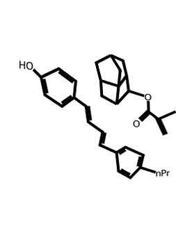 C=C(C)C(=O)OC1C2CC3CC(C2)CC1C3.CCCc1ccc(C=CC=Cc2ccc(O)cc2)cc1